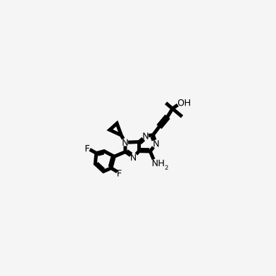 CC(C)(O)C#Cc1nc(N)c2nc(-c3cc(F)ccc3F)n(C3CC3)c2n1